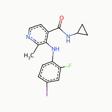 Cc1nccc(C(=O)NC2CC2)c1Nc1ccc(I)cc1F